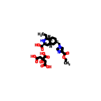 CCOC(=O)c1cn(C[C@H]2CC[C@H]3C(CC)N[C@H](C(=O)O)C[C@H]3C2)cn1.O=C(O)CC(O)(CC(=O)O)C(=O)O